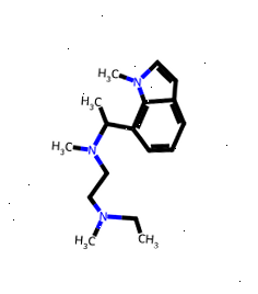 CCN(C)CCN(C)C(C)c1cccc2ccn(C)c12